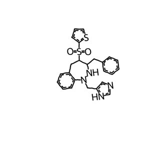 O=S(=O)(c1cccs1)C1Cc2ccccc2N(Cc2cnc[nH]2)NC1Cc1ccccc1